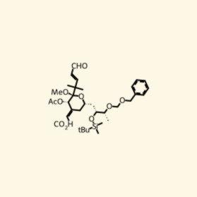 CO[C@@]1(C(C)(C)C=CC=O)O[C@H](C[C@@H](O[Si](C)(C)C(C)(C)C)[C@@H](C)OCOCc2ccccc2)CC(=CC(=O)O)[C@@H]1OC(C)=O